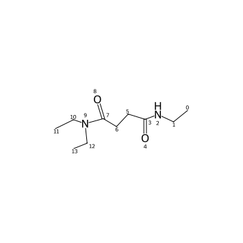 CCNC(=O)CCC(=O)N(CC)CC